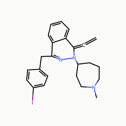 C=C=C1c2ccccc2C(Cc2ccc(I)cc2)=NN1C1CCCN(C)CC1